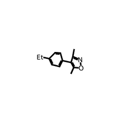 CCc1ccc(-c2c(C)noc2C)cc1